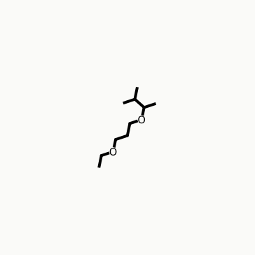 CCOCCCOC(C)C(C)C